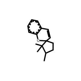 CC1CCC2(C=Cc3ccccc3O2)C1(C)C